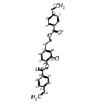 C=Cc1ccc(C(=O)OCCc2ccc(OC(=O)c3ccc(C=C)cc3)c(Cl)c2)cc1